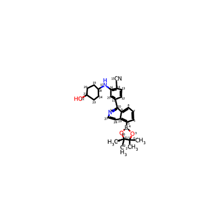 CC1(C)OB(c2cccc3c(-c4ccc(C#N)c(NC5CCC(O)CC5)c4)nccc23)OC1(C)C